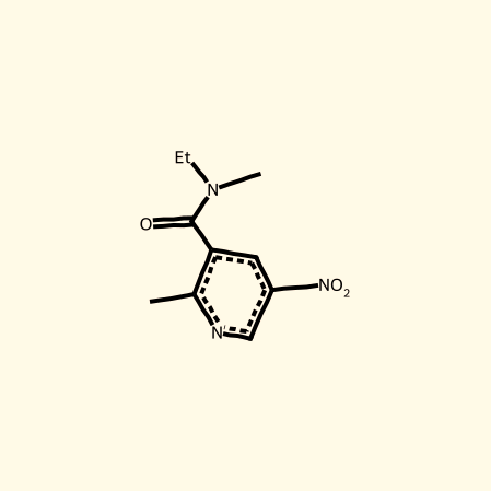 CCN(C)C(=O)c1cc([N+](=O)[O-])cnc1C